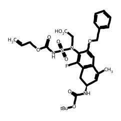 C=CCOC(=O)NS(=O)(=O)N(CC(=O)O)c1c(OCc2ccccc2)cc2c(c1F)C[C@H](NC(=O)OC(C)(C)C)C=C2C